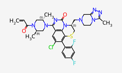 C=CC(=O)N1C[C@H](C)N(c2nc(=O)n3c4c(c(-c5ccc(F)cc5F)c(Cl)cc24)SC[C@@H]3CN2CCn3c(C)nnc3C2)C[C@H]1C